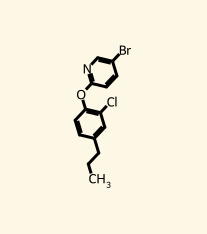 CCCc1ccc(Oc2ccc(Br)cn2)c(Cl)c1